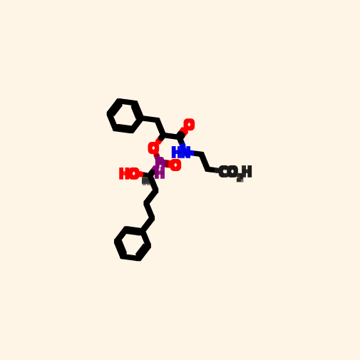 O=C(O)CCNC(=O)C(Cc1ccccc1)O[PH](=O)[C@H](O)CCCc1ccccc1